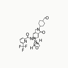 O=CC1CCC(N2Cc3cc(NC(=O)c4cccc(C(F)(F)F)n4)c(N4C[C@H]5C[C@@H]4CO5)cc3C2=O)CC1